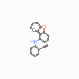 C#Cc1ccccc1Nc1cccc2oc3ccccc3c12